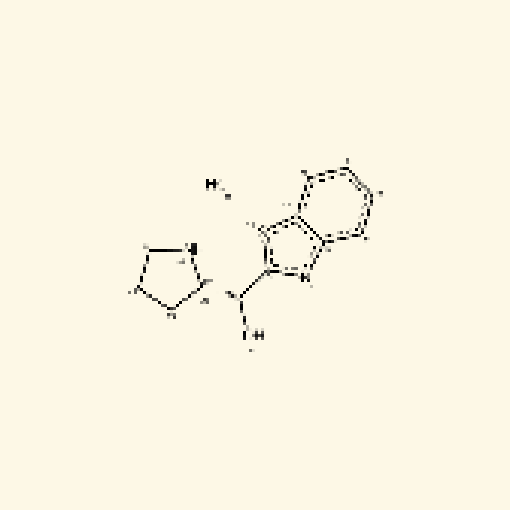 Cl.OC(c1nc2ccccc2s1)[C@@H]1CCCN1